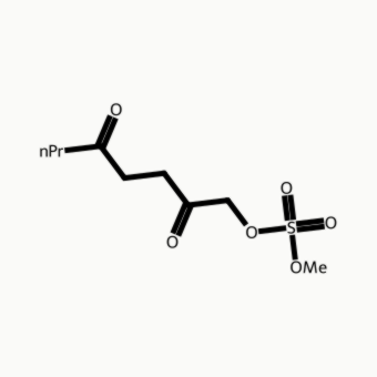 CCCC(=O)CCC(=O)COS(=O)(=O)OC